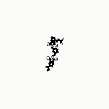 C=CC(C)C1=CC2CC1C1C(=O)N(CCc3cccc(CN4C(=O)C5C6C=CC(CCC(=C)C)(C6)C5C4=O)c3)C(=O)C21